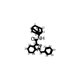 O=C(NC1C2CC3CC(C2)CC1C3)c1nn(Cc2ccccc2)c2c1CCCC2